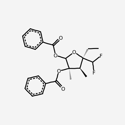 CC[C@@]1(C(F)F)OC(OC(=O)c2ccccc2)[C@](C)(OC(=O)c2ccccc2)[C@@H]1C